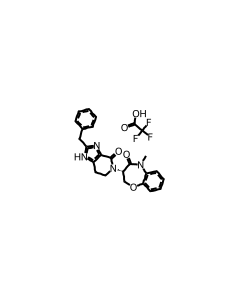 CN1C(=O)[C@@H](N2CCc3[nH]c(Cc4ccccc4)nc3C2=O)COc2ccccc21.O=C(O)C(F)(F)F